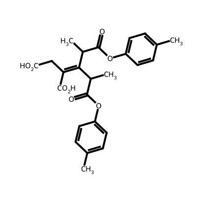 Cc1ccc(OC(=O)C(C)C(=C(CC(=O)O)C(=O)O)C(C)C(=O)Oc2ccc(C)cc2)cc1